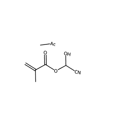 C=C(C)C(=O)OC(O)C#N.CC(C)=O